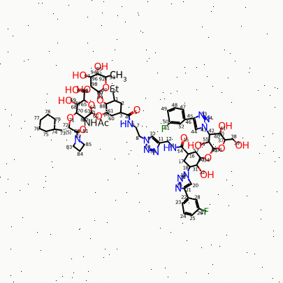 CCC1CC(C(=O)NCCn2cc(CNC(=O)C3CC(n4cc(-c5cccc(F)c5)nn4)C(O)[C@H](O[C@@H]4OC(CO)[C@H](O)C(n5cc(-c6cccc(F)c6)nn5)C4O)C3)nn2)C[C@@H](O[C@@H]2OC(CO)[C@H](O)C(O[C@@H](CC3CCCCC3)C(=O)N3CCC3)C2NC(C)=O)C1O[C@@H]1OC(C)[C@@H](O)C(O)C1O